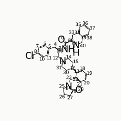 O=C(N[C@H](Cc1ccc(Cl)cc1)CN1CCC(c2ccccc2CN2CCCC2=O)CC1)[C@H]1Cc2ccccc2CN1